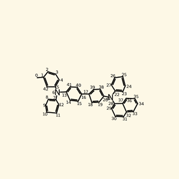 Cc1cccc(N(c2ccccc2)c2ccc(-c3ccc(N(c4ccccc4)c4cccc5ccccc45)cc3)cc2)c1